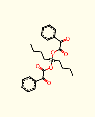 CCC[CH2][Sn]([CH2]CCC)([O]C(=O)C(=O)c1ccccc1)[O]C(=O)C(=O)c1ccccc1